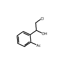 CC(=O)c1ccccc1C(O)CCl